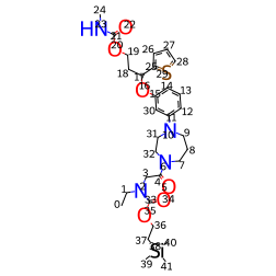 CCN(CC(=O)N1CCCN(c2cccc(OC(CCOC(=O)NC)c3cccs3)c2)CC1)C(=O)OCC[Si](C)(C)C